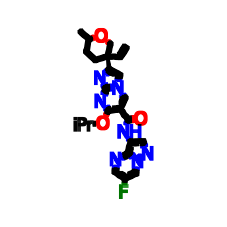 C=C[C@]1(c2cn3cc(C(=O)Nc4cnn5cc(F)cnc45)c(OC(C)C)nc3n2)CCC(C)OC1